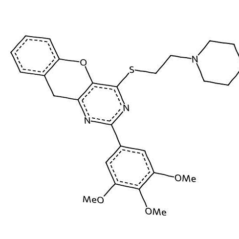 COc1cc(-c2nc3c(c(SCCN4CCCCC4)n2)Oc2ccccc2C3)cc(OC)c1OC